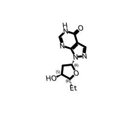 CC[C@H]1O[C@@H](n2ncc3c(=O)[nH]cnc32)C[C@@H]1O